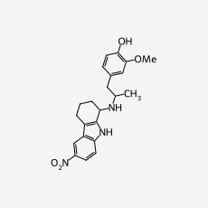 COc1cc(CC(C)NC2CCCc3c2[nH]c2ccc([N+](=O)[O-])cc32)ccc1O